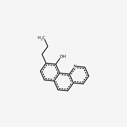 CCCc1ccc2ccc3cccnc3c2c1O